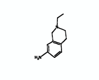 CCN1CCc2ccc(N)cc2C1